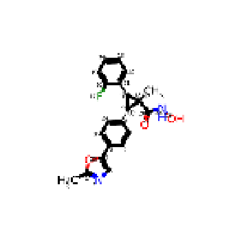 Cc1ncc(-c2ccc([C@@H]3[C@@H](c4ccccc4F)[C@]3(C)C(=O)NO)cc2)o1